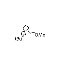 COCCN1CCCC12CN(C(C)(C)C)C2